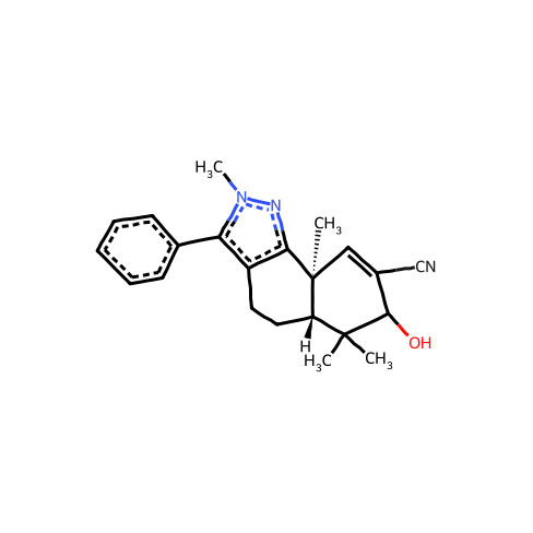 Cn1nc2c(c1-c1ccccc1)CC[C@H]1C(C)(C)C(O)C(C#N)=C[C@]21C